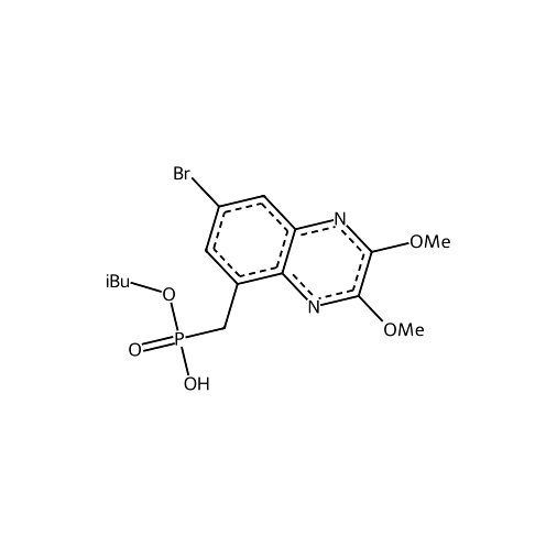 CCC(C)OP(=O)(O)Cc1cc(Br)cc2nc(OC)c(OC)nc12